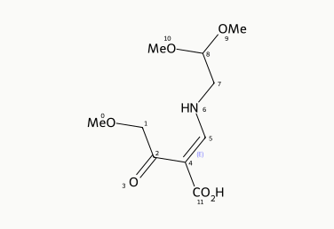 COCC(=O)/C(=C\NCC(OC)OC)C(=O)O